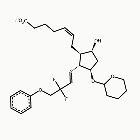 O=C(O)CCC/C=C\C[C@@H]1[C@@H](/C=C/C(F)(F)COc2ccccc2)[C@H](OC2CCCCO2)C[C@@H]1O